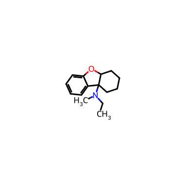 CCN(C)C12CCCCC1Oc1ccccc12